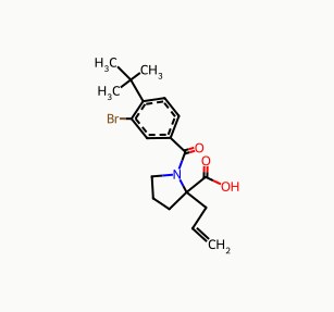 C=CCC1(C(=O)O)CCCN1C(=O)c1ccc(C(C)(C)C)c(Br)c1